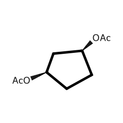 CC(=O)O[C@@H]1CC[C@H](OC(C)=O)C1